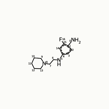 Nc1ccc(NCCN2CCCCC2)cc1F